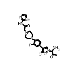 CC(=O)C(N)n1cc(-c2ccc(N3CCN(CC(=O)Nc4ncc[nH]4)CC3)c(F)c2)c(=O)o1